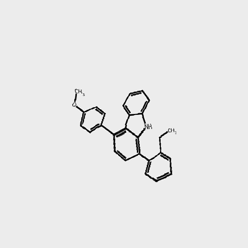 CCc1ccccc1-c1ccc(-c2ccc(OC)cc2)c2c1[nH]c1ccccc12